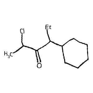 CCC(C(=O)C(C)Cl)C1CCCCC1